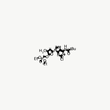 CCOP(=O)(CO[C@H]1O[C@@H](n2cnc3c(NC(=O)C(C)(C)C)nc(Cl)nc32)C[C@@H]1C)OCC